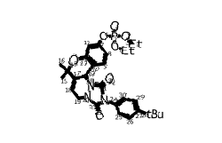 CCOP(=O)(OCC)Oc1ccc2c(c1)OC(C)(C)C1=CCn3c(=O)n(-c4ccc(C(C)(C)C)cc4)c(=O)n3C12